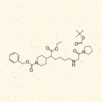 CCOC(=O)C(CCCCN[C@@H](C)C(=O)N1CCC[C@H]1C(=O)OC(C)(C)C)C1CCN(C(=O)OCc2ccccc2)CC1